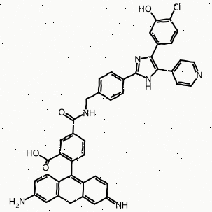 N=C1C=CC2=C(c3ccc(C(=O)NCc4ccc(-c5nc(-c6ccc(Cl)c(O)c6)c(-c6ccncc6)[nH]5)cc4)cc3C(=O)O)c3ccc(N)cc3CC2=C1